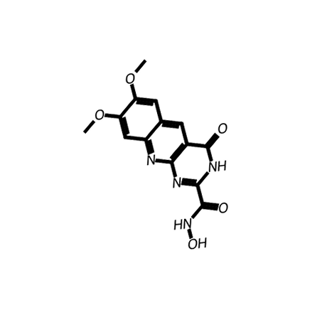 COc1cc2cc3c(=O)[nH]c(C(=O)NO)nc3nc2cc1OC